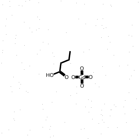 CCCC(=O)O.[O]=[Gd](=[O])(=[O])=[O]